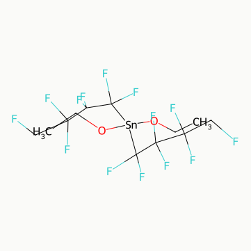 CC[O][Sn]([O]CC)([C](F)(F)C(F)(F)C(F)(F)CF)[C](F)(F)C(F)(F)C(F)(F)CF